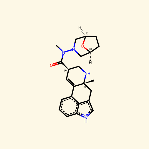 CN(C(=O)[C@@H]1C=C2c3cccc4[nH]cc(c34)C[C@@]2(C)NC1)N1C[C@H]2CC[C@@H](C1)O2